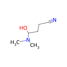 CN(C)C(O)CCC#N